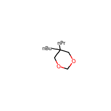 CCCCC1(CCC)COCOC1